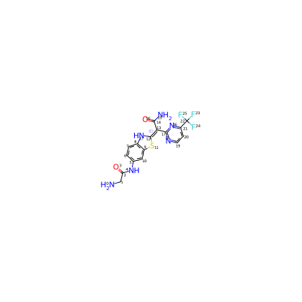 NCC(=O)Nc1ccc2c(c1)S/C(=C(/C(N)=O)c1nccc(C(F)(F)F)n1)N2